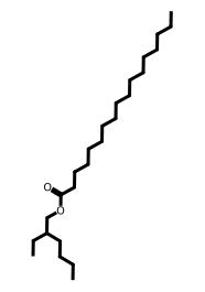 CCCCCCCCCCCCCCCCC(=O)OCC(CC)CCCC